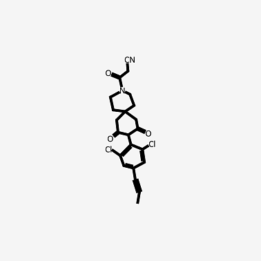 CC#Cc1cc(Cl)c(C2C(=O)CC3(CCN(C(=O)CC#N)CC3)CC2=O)c(Cl)c1